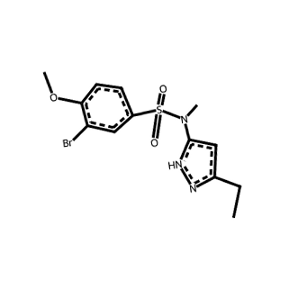 CCc1cc(N(C)S(=O)(=O)c2ccc(OC)c(Br)c2)[nH]n1